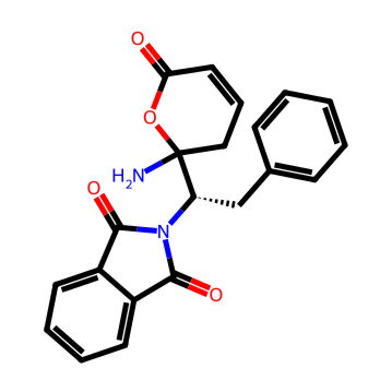 NC1([C@H](Cc2ccccc2)N2C(=O)c3ccccc3C2=O)CC=CC(=O)O1